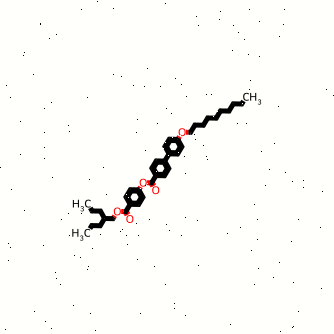 CCCCCCCCCCOc1ccc(-c2ccc(C(=O)Oc3ccc(C(=O)OCC(CCC)CCC)cc3)cc2)cc1